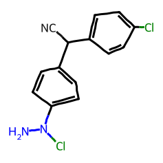 N#CC(c1ccc(Cl)cc1)c1ccc(N(N)Cl)cc1